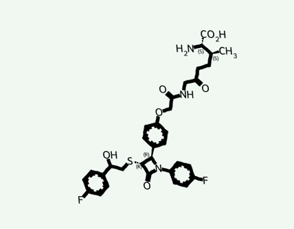 C[C@@H](CCC(=O)CNC(=O)COc1ccc([C@@H]2[C@@H](SCC(O)c3ccc(F)cc3)C(=O)N2c2ccc(F)cc2)cc1)[C@H](N)C(=O)O